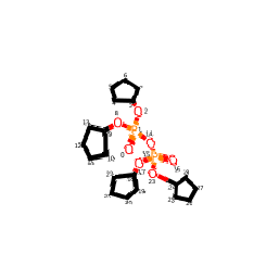 O=P(OC1CCCC1)(OC1CCCC1)OP(=O)(OC1CCCC1)OC1CCCC1